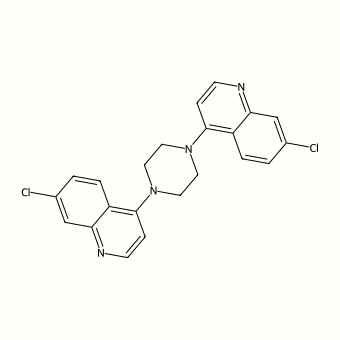 Clc1ccc2c(N3CCN(c4ccnc5cc(Cl)ccc45)CC3)ccnc2c1